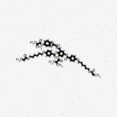 C=CC(=O)OCCCCCCOc1ccc(C(=O)Oc2cc(/C=N/Nc3nc4ccc(OC(=O)C(=C)C)cc4s3)c(OC(=O)c3ccc(OCCCCCCOC(=O)C=C)cc3)c(OC(=O)C(=C)C)c2)cc1